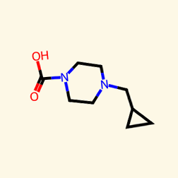 O=C(O)N1CCN(CC2CC2)CC1